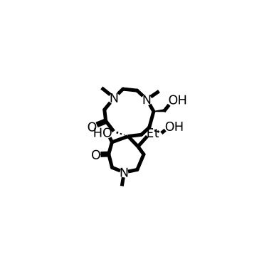 CCC1CCN(C)CC(=O)C(O)[C@]12CC(=O)CN(C)CCN(C)[C@@H](CO)[C@H](CO)C2